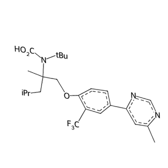 Cc1cc(-c2ccc(OCC(C)(CC(C)C)N(C(=O)O)C(C)(C)C)c(C(F)(F)F)c2)ncn1